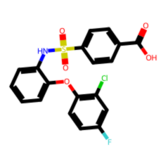 O=C(O)c1ccc(S(=O)(=O)Nc2ccccc2Oc2ccc(F)cc2Cl)cc1